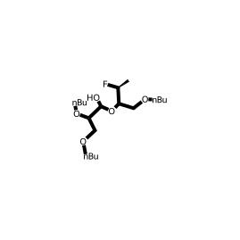 CCCCOCC(OCCCC)C(O)OC(COCCCC)[C@H](C)F